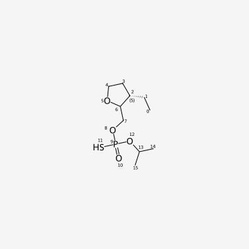 CC[C@H]1CCOC1COP(=O)(S)OC(C)C